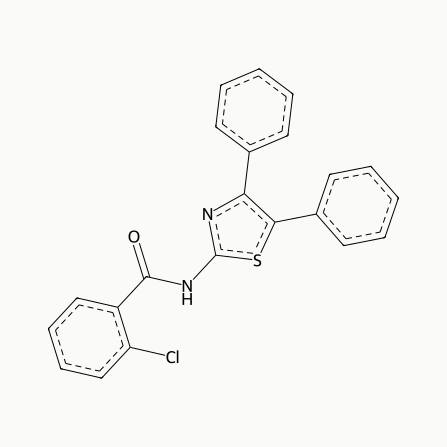 O=C(Nc1nc(-c2ccccc2)c(-c2ccccc2)s1)c1ccccc1Cl